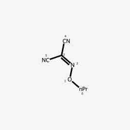 CCCON=C(C#N)C#N